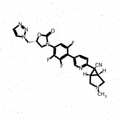 CN1C[C@@H]2[C@H](C1)[C@@]2(C#N)c1ccc(-c2c(F)cc(N3C[C@H](Cn4ccnn4)OC3=O)c(F)c2F)cn1